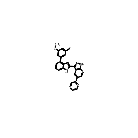 COc1cc(F)cc(-c2cccc3[nH]c(-c4n[nH]c5ncc(-c6cnccn6)cc45)cc23)c1